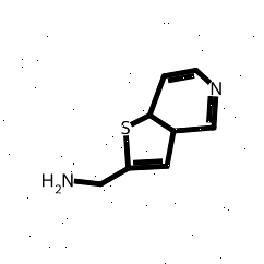 NCC1=CC2C=NC=CC2S1